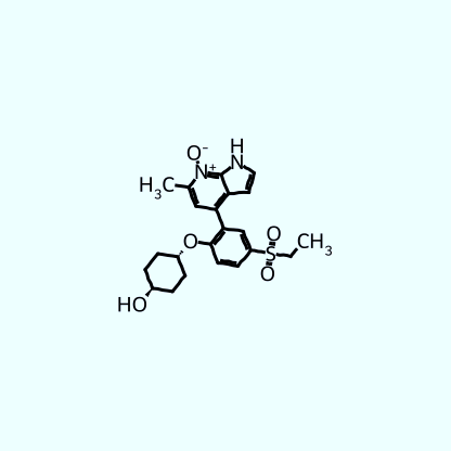 CCS(=O)(=O)c1ccc(O[C@H]2CC[C@H](O)CC2)c(-c2cc(C)[n+]([O-])c3[nH]ccc23)c1